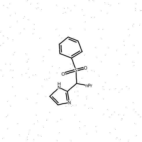 CCCC(c1ncc[nH]1)S(=O)(=O)c1ccccc1